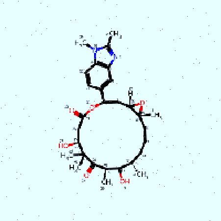 Cc1nc2cc(C3C[C@@H]4O[C@]4(C)CCC[C@H](C)C(O)[C@@H](C)C(=O)C(C)(C)[C@@H](O)CC(=O)O3)ccc2n1C